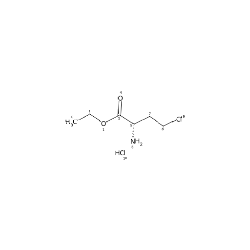 CCOC(=O)[C@@H](N)CCCl.Cl